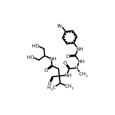 CC(C)C(C=O)(CC(=O)NC(CO)CO)NC(=O)N(C)NC(=O)Nc1ccc(Br)cc1